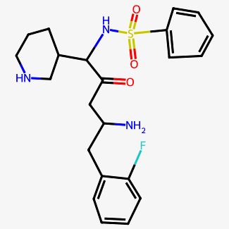 NC(CC(=O)C(NS(=O)(=O)c1ccccc1)C1CCCNC1)Cc1ccccc1F